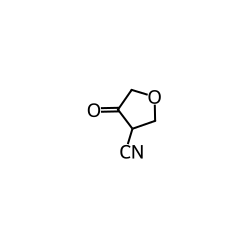 N#CC1COCC1=O